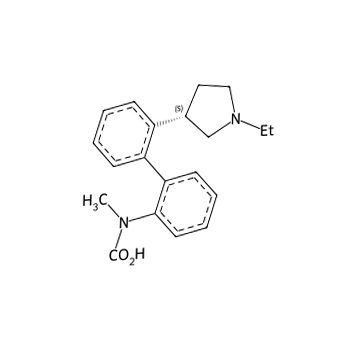 CCN1CC[C@@H](c2ccccc2-c2ccccc2N(C)C(=O)O)C1